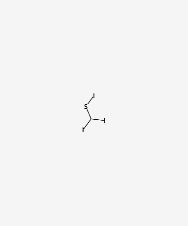 ISC(I)I